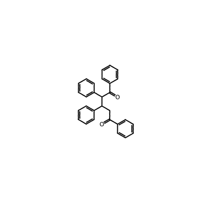 O=C(CC(c1ccccc1)C(C(=O)c1ccccc1)c1ccccc1)c1ccccc1